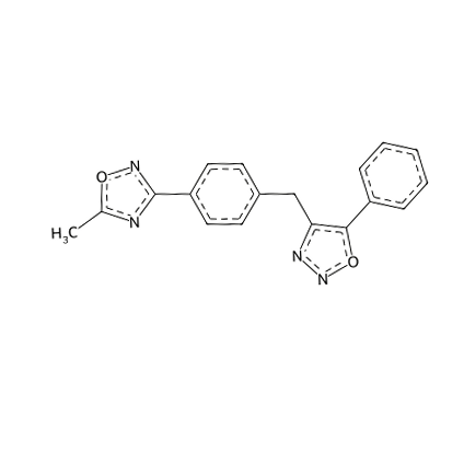 Cc1nc(-c2ccc(Cc3nnoc3-c3ccccc3)cc2)no1